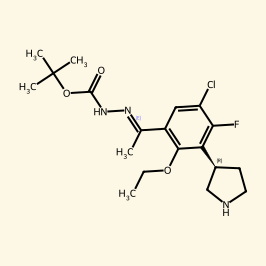 CCOc1c(/C(C)=N/NC(=O)OC(C)(C)C)cc(Cl)c(F)c1[C@H]1CCNC1